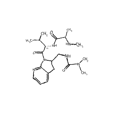 CNC(C)C(=O)N[C@H](C(=O)N1c2ncccc2CC1CNC(=O)N(C)C)C(C)C